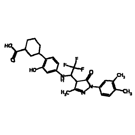 CC1=NN(c2ccc(C)c(C)c2)C(=O)C1C(Nc1ccc(C2CCCC(C(=O)O)C2)c(O)c1)C(F)(F)F